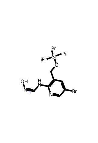 CC(C)[Si](OCc1cc(Br)cnc1N/C=N\O)(C(C)C)C(C)C